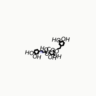 CC1OC(OCCc2ccc(O)c(O)c2)C(O)C(O)C1OC(=O)/C=C/c1ccc(O)c(O)c1